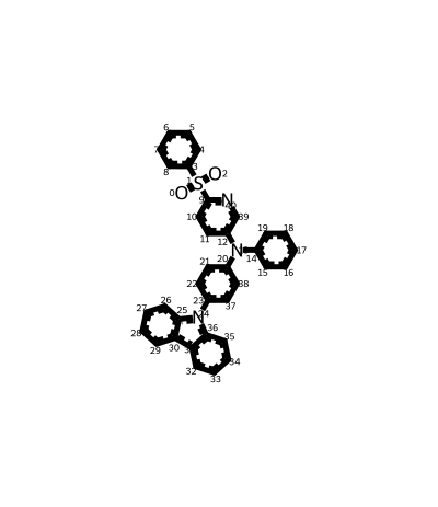 O=S(=O)(c1ccccc1)c1ccc(N(c2ccccc2)c2ccc(-n3c4ccccc4c4ccccc43)cc2)cn1